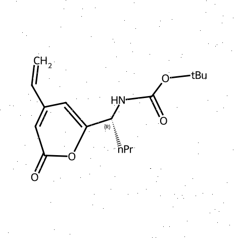 C=Cc1cc([C@@H](CCC)NC(=O)OC(C)(C)C)oc(=O)c1